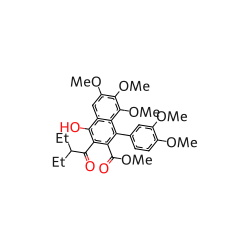 CCC(CC)C(=O)c1c(C(=O)OC)c(-c2ccc(OC)c(OC)c2)c2c(OC)c(OC)c(OC)cc2c1O